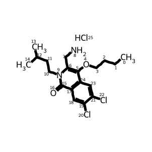 CCCCOc1c(CN)n(CCC(C)C)c(=O)c2cc(Cl)c(Cl)cc12.Cl